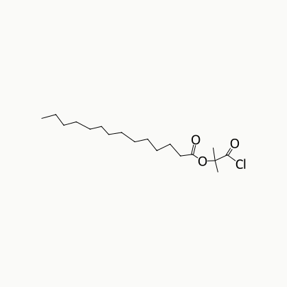 CCCCCCCCCCCCCC(=O)OC(C)(C)C(=O)Cl